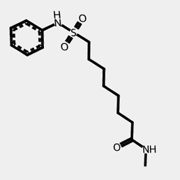 CNC(=O)CCCCCCCS(=O)(=O)Nc1ccccc1